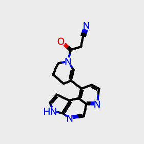 N#CCC(=O)N1C=C(c2ccnc3cnc4[nH]ccc4c23)CCC1